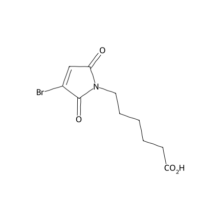 O=C(O)CCCCCN1C(=O)C=C(Br)C1=O